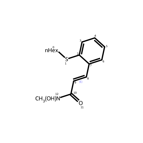 CCCCCCSc1ccccc1/C=C/C(=O)N(C)O